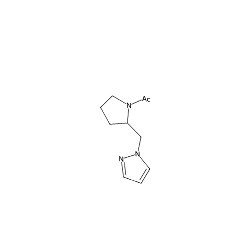 CC(=O)N1CCCC1Cn1cccn1